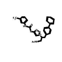 CC(=O)NCC(Cc1ccc(-c2ccccc2)cc1)[n+]1cc([N-]C(=O)Nc2cccc(C(F)(F)F)c2)on1